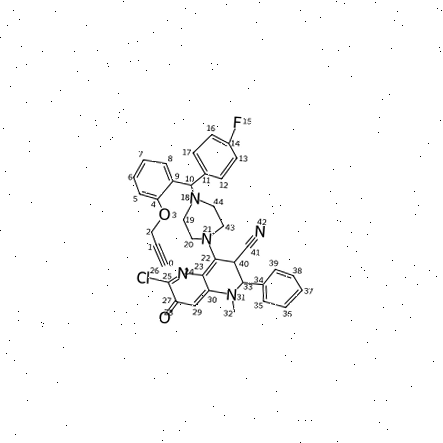 C#CCOc1ccccc1C(c1ccc(F)cc1)N1CCN(C2=C3N=C(Cl)C(=O)C=C3N(C)C(c3ccccc3)C2C#N)CC1